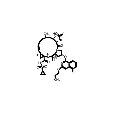 CCCOc1cc2c(Cl)cccc2c(O[C@@H]2C[C@H]3C(=O)N[C@]4(C(=O)NS(=O)(=O)C5CC5)C[C@H]4/C=C\CC[C@@H](C)C[C@@H](C)[C@H](NC(=O)O)C(=O)N3C2)n1